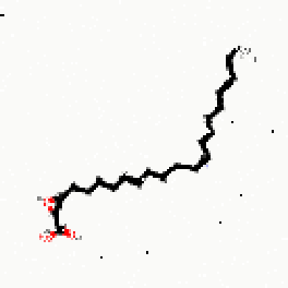 CCCCCCCC/C=C\CCCCCCCCCC1OC1C(=O)O